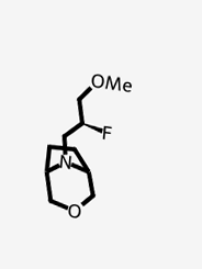 COC[C@@H](F)CN1C2CCC1COC2